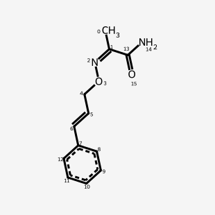 CC(=NOC/C=C/c1ccccc1)C(N)=O